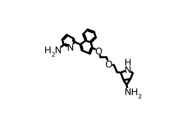 Nc1cccc(-c2ccc(OCCOCCC3NCC4C(N)C34)c3ccccc23)n1